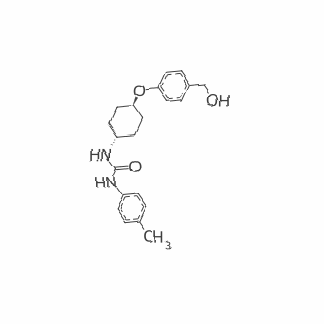 Cc1ccc(NC(=O)N[C@H]2CC[C@H](Oc3ccc(CO)cc3)CC2)cc1